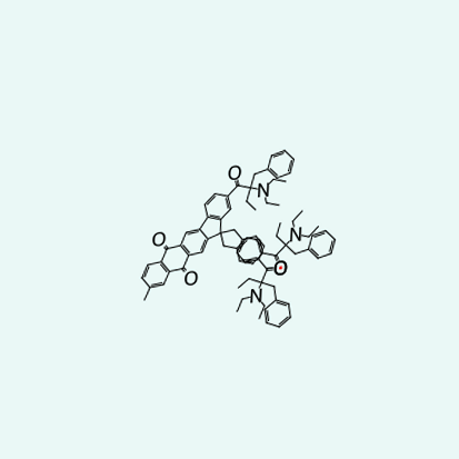 CCN(CC)C(CC)(Cc1ccccc1)C(=O)c1ccc(CC2(Cc3ccc(C(=O)C(CC)(Cc4ccccc4)N(CC)CC)cc3)c3cc(C(=O)C(CC)(Cc4ccccc4)N(CC)CC)ccc3-c3cc4c(cc32)C(=O)c2cc(C)ccc2C4=O)cc1